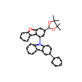 CC1(C)OB(c2cc(-n3c4ccccc4c4cc(-c5ccccc5)ccc43)c3c(c2)oc2ccccc23)OC1(C)C